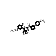 CC(=O)Nc1ccc(F)c(-c2nc(Nc3cccc(N4CCN(C)CC4)c3)nc3[nH]ncc23)c1